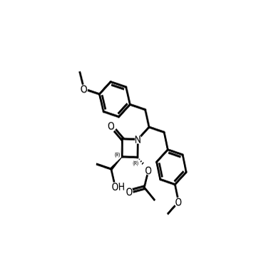 COc1ccc(CC(Cc2ccc(OC)cc2)N2C(=O)[C@H](C(C)O)[C@H]2OC(C)=O)cc1